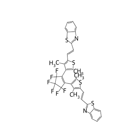 Cc1sc(C=Cc2nc3ccccc3s2)c(C)c1C1=C(c2c(C)sc(C=Cc3nc4ccccc4s3)c2C)C(F)(F)C(F)(F)C1(F)F